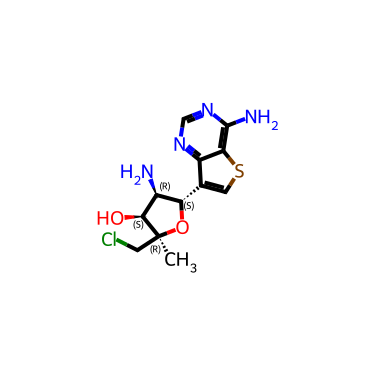 C[C@@]1(CCl)O[C@@H](c2csc3c(N)ncnc23)[C@H](N)[C@@H]1O